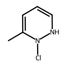 CC1=CC=CNN1Cl